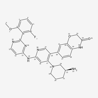 COc1cccc(F)c1-c1nccc(Nc2cc(N3CCC[C@H](N)C3)c(-c3ccc4c(c3)OCC(=O)N4)cn2)n1